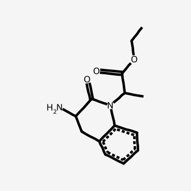 CCOC(=O)C(C)N1C(=O)C(N)Cc2ccccc21